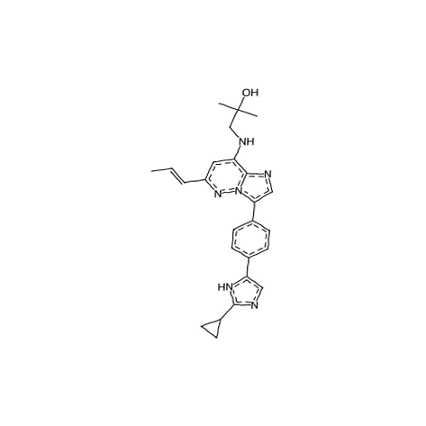 CC=Cc1cc(NCC(C)(C)O)c2ncc(-c3ccc(-c4cnc(C5CC5)[nH]4)cc3)n2n1